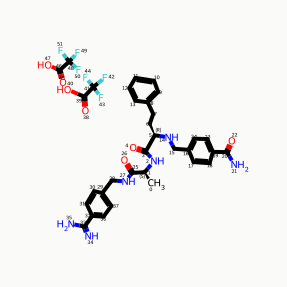 C[C@H](NC(=O)[C@@H](CCc1ccccc1)NCc1ccc(C(N)=O)cc1)C(=O)NCc1ccc(C(=N)N)cc1.O=C(O)C(F)(F)F.O=C(O)C(F)(F)F